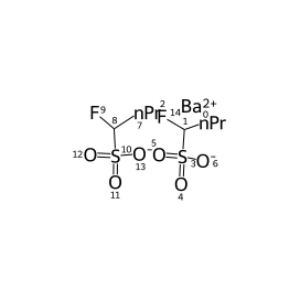 CCCC(F)S(=O)(=O)[O-].CCCC(F)S(=O)(=O)[O-].[Ba+2]